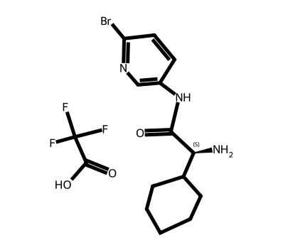 N[C@H](C(=O)Nc1ccc(Br)nc1)C1CCCCC1.O=C(O)C(F)(F)F